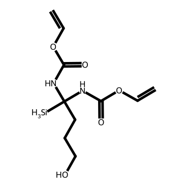 C=COC(=O)NC([SiH3])(CCCO)NC(=O)OC=C